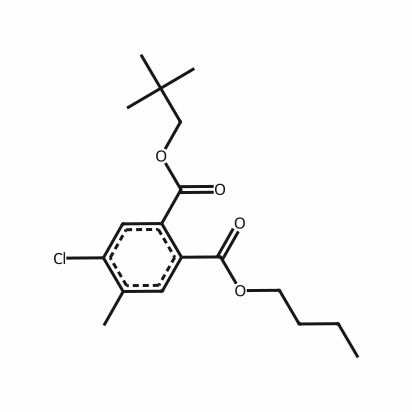 CCCCOC(=O)c1cc(C)c(Cl)cc1C(=O)OCC(C)(C)C